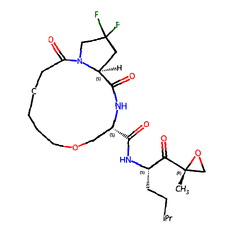 CC(C)CC[C@H](NC(=O)[C@@H]1COCCCCCC(=O)N2CC(F)(F)C[C@H]2C(=O)N1)C(=O)[C@@]1(C)CO1